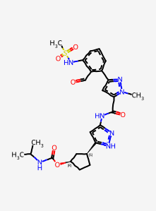 CC(C)NC(=O)O[C@@H]1CC[C@H](c2cc(NC(=O)c3cc(-c4cccc(NS(C)(=O)=O)c4C=O)nn3C)n[nH]2)C1